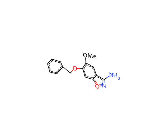 COc1cc2c(N)noc2cc1OCc1ccccc1